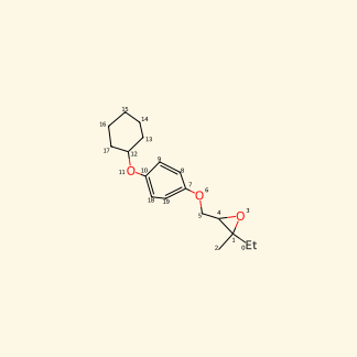 CCC1(C)OC1COc1ccc(OC2CCCCC2)cc1